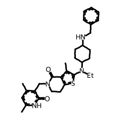 CCN(c1sc2c(c1C)C(=O)N(Cc1c(C)cc(C)[nH]c1=O)CC2)C1CCC(NCc2ccccc2)CC1